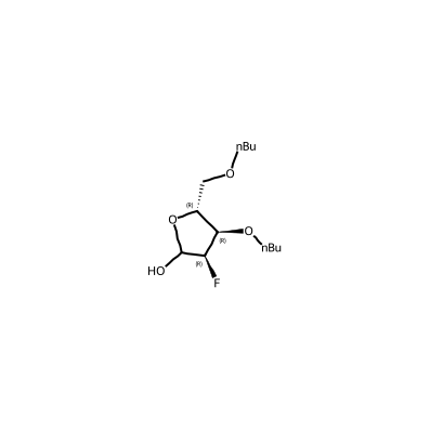 CCCCOC[C@H]1OC(O)[C@H](F)[C@@H]1OCCCC